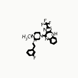 CN1CCN(C2=Nc3ccccc3Nc3sc(C(F)(F)F)nc32)C[C@@H]1CCc1cccc(F)c1